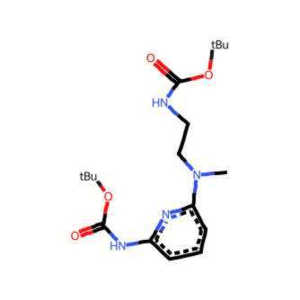 CN(CCNC(=O)OC(C)(C)C)c1cccc(NC(=O)OC(C)(C)C)n1